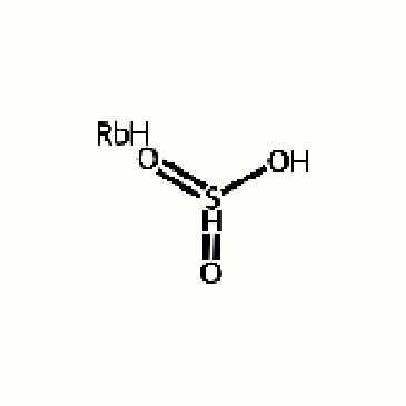 O=[SH](=O)O.[RbH]